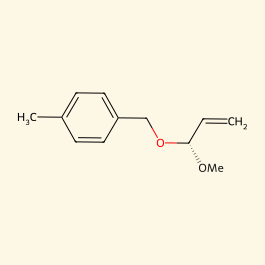 C=C[C@H](OC)OCc1ccc(C)cc1